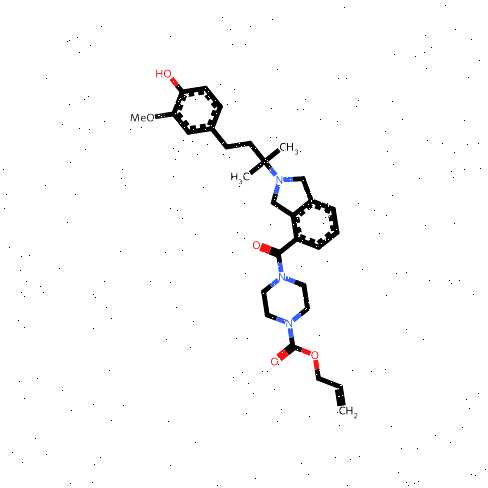 C=CCOC(=O)N1CCN(C(=O)c2cccc3c2CN(C(C)(C)CCc2ccc(O)c(OC)c2)C3)CC1